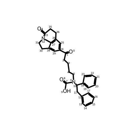 O=C(CCCCN(C(=O)O)C(Cc1ccccc1)c1ccccc1)c1cc2c3c(c1)CCN3C(=O)CC2